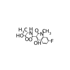 C[C@H](NC(=O)c1c(O)c2ccc(F)cc2n(C)c1=O)C(=O)O